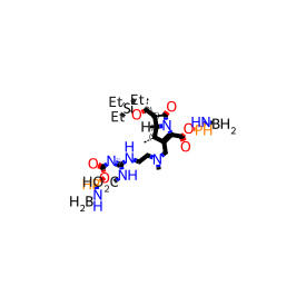 BNPOC(=O)/N=C(/NCCN(C)CC1=C(C(=O)OPNB)N2C(=O)[C@H]([C@@H](C)O[Si](CC)(CC)CC)[C@H]2[C@H]1C)NC(=O)O